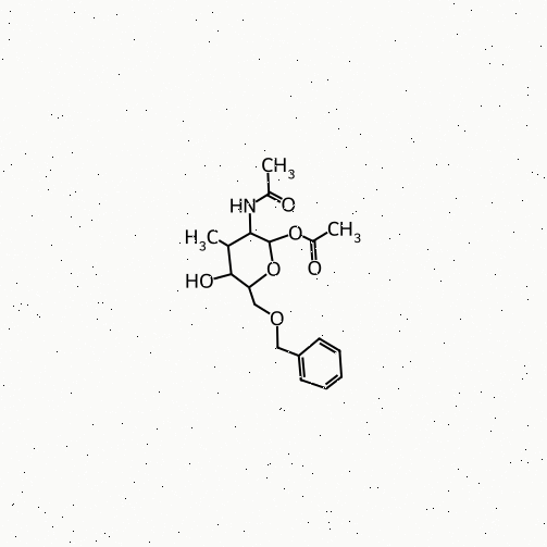 CC(=O)NC1C(OC(C)=O)OC(COCc2ccccc2)C(O)C1C